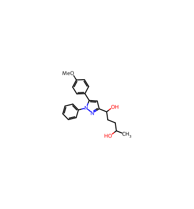 COc1ccc(-c2cc(C(O)CCC(C)O)nn2-c2ccccc2)cc1